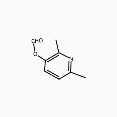 Cc1ccc(OC=O)c(C)n1